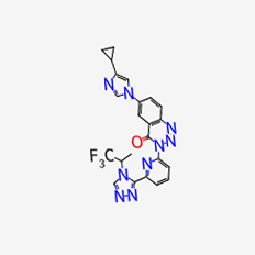 CC(n1cnnc1-c1cccc(-n2nnc3ccc(-n4cnc(C5CC5)c4)cc3c2=O)n1)C(F)(F)F